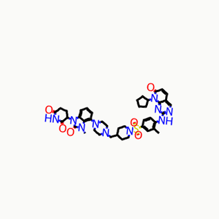 Cc1cc(S(=O)(=O)N2CCC(CN3CCN(c4cccc5c4n(C)c(=O)n5C4CCC(=O)NC4=O)CC3)CC2)ccc1Nc1ncc2ccc(=O)n(C3CCCC3)c2n1